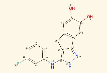 Oc1cc2c(cc1O)-c1n[nH]c(Nc3cccc(F)c3)c1C2